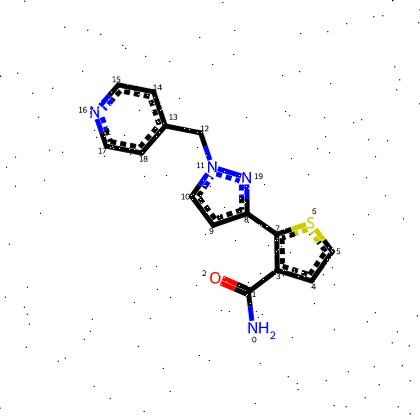 NC(=O)c1ccsc1-c1ccn(Cc2ccncc2)n1